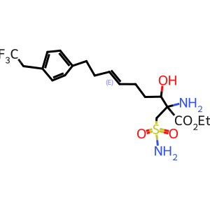 CCOC(=O)C(N)(CS(N)(=O)=O)C(O)CC/C=C/CCc1ccc(CC(F)(F)F)cc1